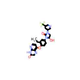 CCc1cc(N2C(=O)N(c3cncc(C(F)(F)F)c3)C[C@H]2O)ccc1Oc1ccnc2[nH]c(=O)cnc12